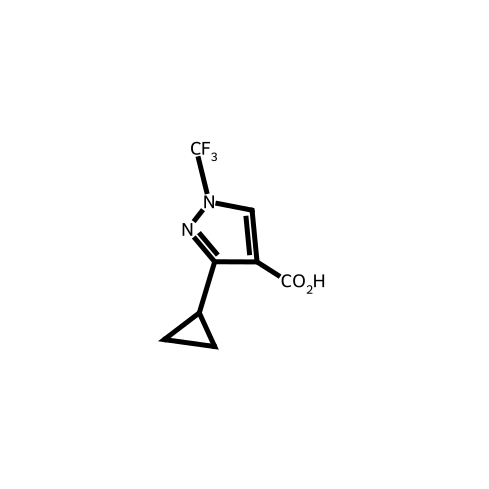 O=C(O)c1cn(C(F)(F)F)nc1C1CC1